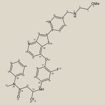 COCCNCc1ccc(-c2cc3nccc(Oc4ccc(NC(CC(=O)N(C)c5ccccc5)C(F)(F)F)cc4F)c3s2)nc1